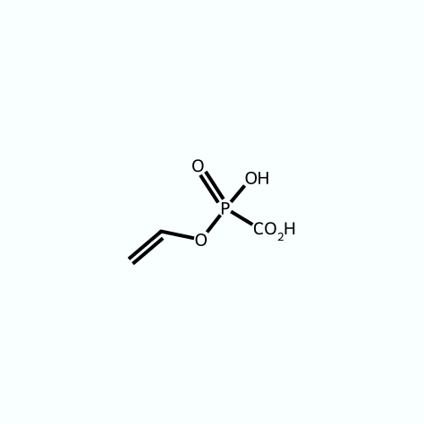 C=COP(=O)(O)C(=O)O